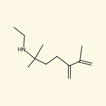 C=C(C)C(=C)CCC(C)(C)NCC